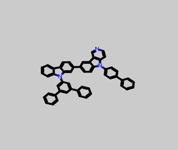 c1ccc(-c2ccc(-n3c4ccncc4c4cc(-c5ccc6c7ccccc7n(-c7cc(-c8ccccc8)cc(-c8ccccc8)c7)c6c5)ccc43)cc2)cc1